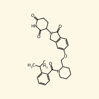 CC(C)c1ccccc1C(=O)N1CCCCC1COc1ccc2c(c1)CN(C1CCC(=O)NC1=O)C2=O